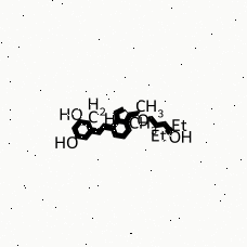 C=C1/C(=C\C=C2/CCC[C@]3(C)[C@@H]([C@@H](C)OCCCC(O)(CC)CC)CC[C@@H]23)C[C@@H](O)C[C@@H]1O